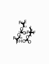 CCC(F)(F)COC(=O)O.O=C(OCC(F)F)OCC(F)F